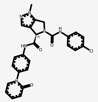 Cn1ncc2c1CN(C(=O)Nc1ccc(Cl)cc1)[C@H]2C(=O)Nc1ccc(-n2ccccc2=O)cc1